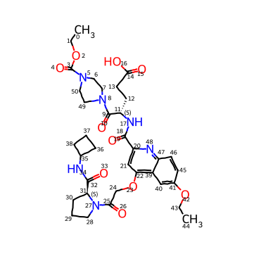 CCOC(=O)N1CCN(C(=O)[C@H](CCC(=O)O)NC(=O)c2cc(OCC(=O)N3CCC[C@H]3C(=O)NC3CCC3)c3cc(OCC)ccc3n2)CC1